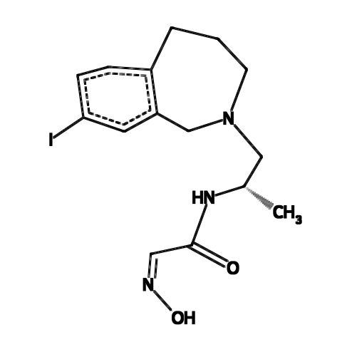 C[C@@H](CN1CCCc2ccc(I)cc2C1)NC(=O)/C=N\O